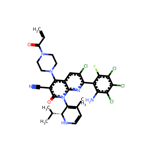 C=CC(=O)N1CCN(c2c(C#N)c(=O)n(C3=C(C)C=CN[C@@H]3C(C)C)c3nc(-c4c(N)c(Cl)c(Cl)c(Cl)c4F)c(Cl)cc23)CC1